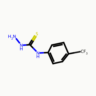 NNC(=S)Nc1ccc(C(F)(F)F)cc1